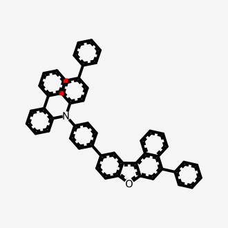 c1ccc(-c2ccc(N(c3ccc(-c4ccc5oc6cc(-c7ccccc7)c7ccccc7c6c5c4)cc3)c3ccccc3-c3ccccc3)cc2)cc1